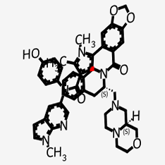 Cc1c(C(=O)N(c2ccc(O)cc2)c2cnc3c(ccn3C)c2)cc(-c2cc3c(cc2C(=O)N2Cc4ccccc4C[C@H]2CN2CCN4CCOC[C@@H]4C2)OCO3)n1C